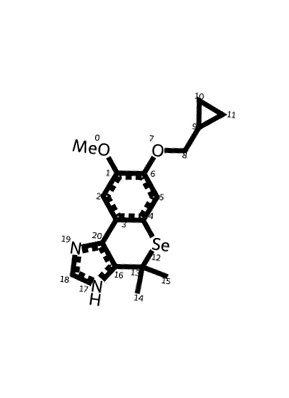 COc1cc2c(cc1OCC1CC1)[Se]C(C)(C)c1[nH]cnc1-2